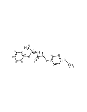 COc1ccc(CNC(=O)NN(C)Cc2ccccc2)cc1